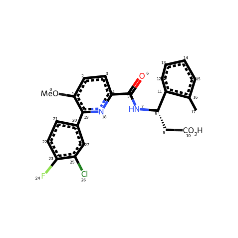 COc1ccc(C(=O)N[C@@H](CC(=O)O)c2ccccc2C)nc1-c1ccc(F)c(Cl)c1